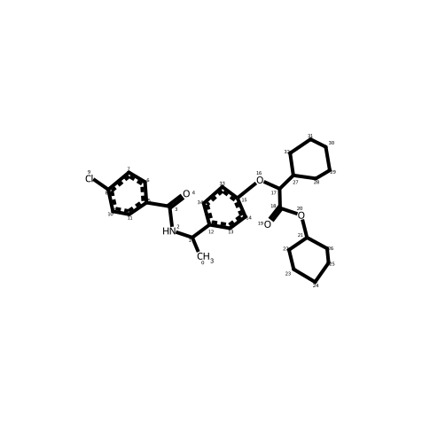 CC(NC(=O)c1ccc(Cl)cc1)c1ccc(OC(C(=O)OC2CCCCC2)C2CCCCC2)cc1